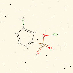 O=S(=O)(OCl)c1cccc(F)c1